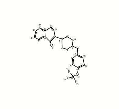 [O]c1c(N2CCC(Cc3ccc(OC(F)(F)F)cc3)CC2)ccc2ncccc12